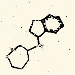 c1ccc2c(c1)CCC2NC1CCCONC1